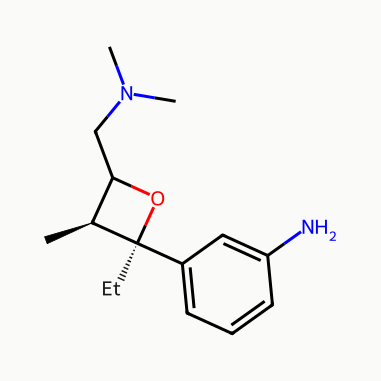 CC[C@@]1(c2cccc(N)c2)OC(CN(C)C)[C@@H]1C